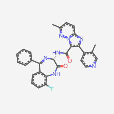 Cc1ccc2nc(-c3ccncc3C)c(C(=O)N[C@H]3N=C(c4ccccc4)c4cccc(F)c4NC3=O)n2n1